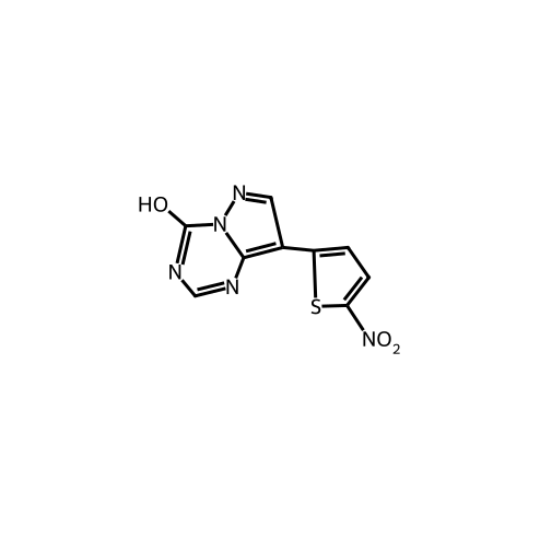 O=[N+]([O-])c1ccc(-c2cnn3c(O)ncnc23)s1